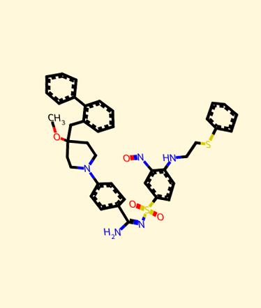 COC1(Cc2ccccc2-c2ccccc2)CCN(c2ccc(/C(N)=N\S(=O)(=O)c3ccc(NCCSc4ccccc4)c(N=O)c3)cc2)CC1